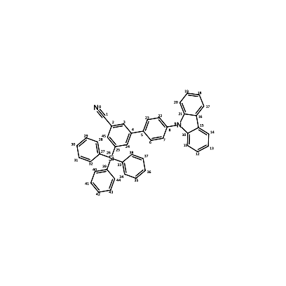 N#Cc1cc(-c2ccc(-n3c4ccccc4c4ccccc43)cc2)cc([Si](c2ccccc2)(c2ccccc2)c2ccccc2)c1